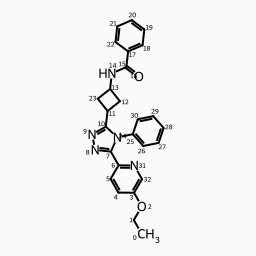 CCOc1ccc(-c2nnc(C3CC(NC(=O)c4ccccc4)C3)n2-c2ccccc2)nc1